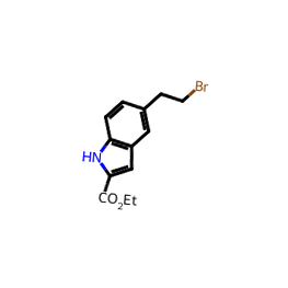 CCOC(=O)c1cc2cc(CCBr)ccc2[nH]1